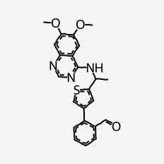 COc1cc2ncnc(NC(C)c3cc(-c4ccccc4C=O)cs3)c2cc1OC